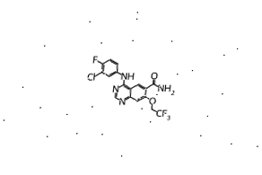 NC(=O)c1cc2c(Nc3ccc(F)c(Cl)c3)ncnc2cc1OCC(F)(F)F